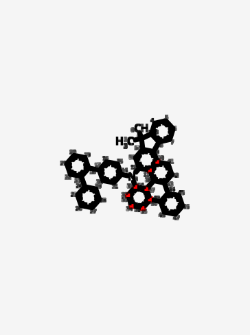 CC1(C)c2ccccc2-c2ccc(N(c3ccc(-c4ccccc4-c4ccccc4)cc3)c3ccccc3-c3ccccc3-c3ccccc3-c3ccccc3)cc21